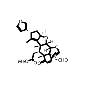 COC(=O)C[C@H]1[C@]2(C)C3=C(C)[C@H](c4ccoc4)C[C@H]3O[C@@H]2[C@@H]2OC=N[C@@]23[C@](C)(C=O)C=CC(=O)[C@]13C